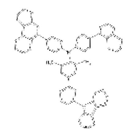 Cc1cc(-c2cccc(-n3c4ccccc4c4ccccc43)c2)cc(C)c1N(c1ccc(-c2cccc3ccccc23)cc1)c1ccc(-c2cc3ccccc3c3ccccc23)cc1